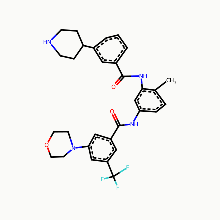 Cc1ccc(NC(=O)c2cc(N3CCOCC3)cc(C(F)(F)F)c2)cc1NC(=O)c1cccc(C2CCNCC2)c1